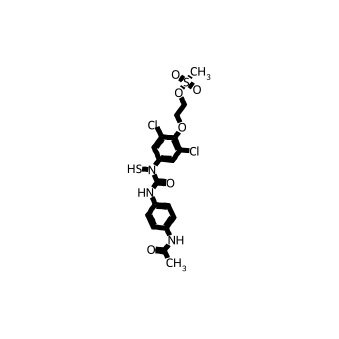 CC(=O)Nc1ccc(NC(=O)N(S)c2cc(Cl)c(OCCOS(C)(=O)=O)c(Cl)c2)cc1